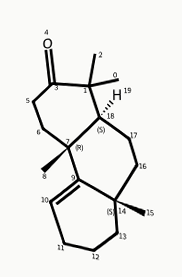 CC1(C)C(=O)CC[C@@]2(C)C3=CCCC[C@@]3(C)CC[C@H]12